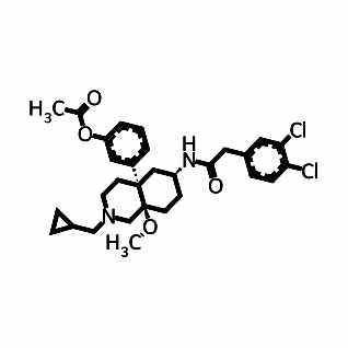 CO[C@]12CC[C@@H](NC(=O)Cc3ccc(Cl)c(Cl)c3)C[C@]1(c1cccc(OC(C)=O)c1)CCN(CC1CC1)C2